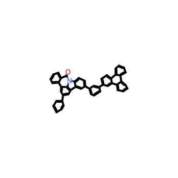 O=c1c2ccccc2c2cc(-c3ccccc3)cc3c4cc(-c5cccc(-c6ccc7c8ccccc8c8ccccc8c7c6)c5)ccc4n1c23